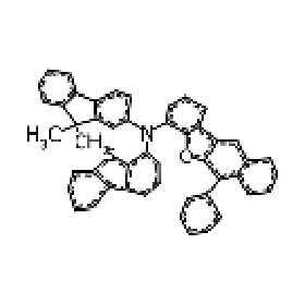 CC1(C)c2ccccc2-c2ccc(N(c3cccc4c3oc3c(-c5ccccc5)c5ccccc5cc34)c3cccc4c3sc3ccccc34)cc21